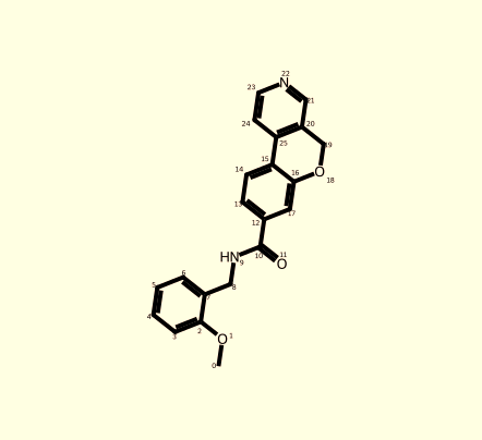 COc1ccccc1CNC(=O)c1ccc2c(c1)OCc1cnccc1-2